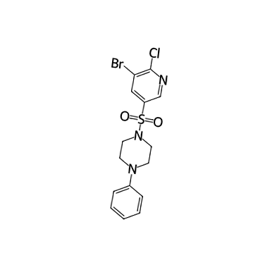 O=S(=O)(c1cnc(Cl)c(Br)c1)N1CCN(c2ccccc2)CC1